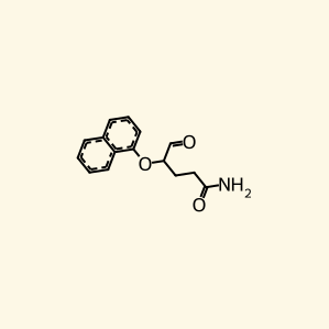 NC(=O)CCC(C=O)Oc1cccc2ccccc12